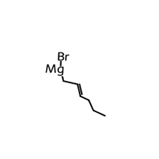 CCCC=C[CH2][Mg][Br]